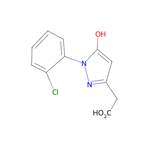 O=C(O)Cc1cc(O)n(-c2ccccc2Cl)n1